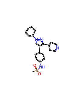 CS(=O)(=O)Nc1ccc(-c2cn(-c3ccccc3)nc2-c2ccncc2)cc1